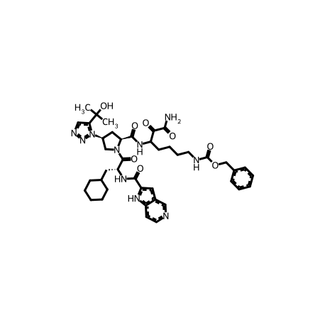 CC(C)(O)c1cnnn1[C@H]1C[C@@H](C(=O)NC(CCCCNC(=O)OCc2ccccc2)C(=O)C(N)=O)N(C(=O)[C@@H](CC2CCCCC2)NC(=O)c2cc3cnccc3[nH]2)C1